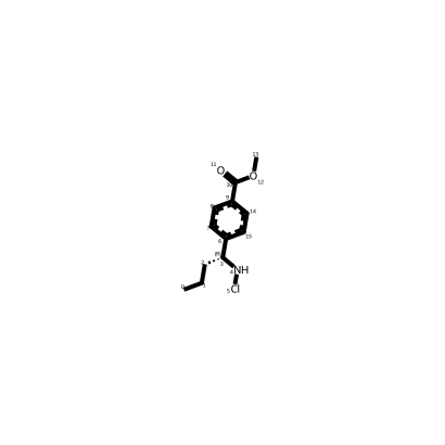 CCC[C@@H](NCl)c1ccc(C(=O)OC)cc1